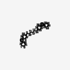 c1ccc(Oc2ccc(CCCCCCc3ccc(Oc4ccccc4)cc3)cc2)cc1